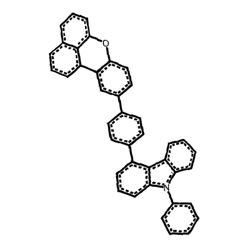 c1ccc(-n2c3ccccc3c3c(-c4ccc(-c5ccc6c(c5)-c5cccc7cccc(c57)O6)cc4)cccc32)cc1